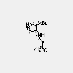 CC(C)(C)c1[nH]ncc1NCCC(=O)Cl